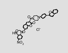 O=C(c1cc2ccc(ON3CONc4cc([N+](=O)[O-])ccc43)cc2oc1=O)N1CCN(c2ccc(-c3ccc4ccccc4[o+]3)cc2)CC1.[Cl-]